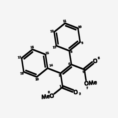 COC(=O)C(=C(C(=O)OC)c1ccccc1)c1ccccc1